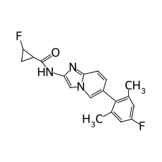 Cc1cc(F)cc(C)c1-c1ccc2nc(NC(=O)C3CC3F)cn2c1